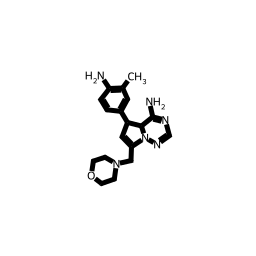 Cc1cc(C2C=C(CN3CCOCC3)N3N=CN=C(N)C23)ccc1N